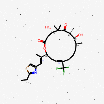 CCc1nc(/C=C(\C)[C@@H]2C/C=C(/C(F)(F)F)CCC[C@H](C)[C@H](O)[C@@H](C)C(=O)C(C)(C)[C@@H](O)CC(=O)O2)cs1